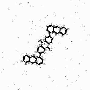 O=C1c2ccc(-c3cccc4cc5ccccc5cc34)cc2C(=O)c2ccc(-c3cccc4cc5ccccc5cc34)cc21